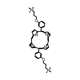 C[N+](C)(C)CCCOc1cccc(-c2c3nc(cc4ccc([nH]4)c(-c4cccc(OCCC[N+](C)(C)C)c4)c4nc(cc5ccc2[nH]5)C=C4)C=C3)c1